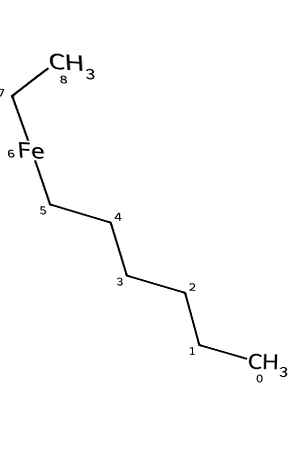 CCCCC[CH2][Fe][CH2]C